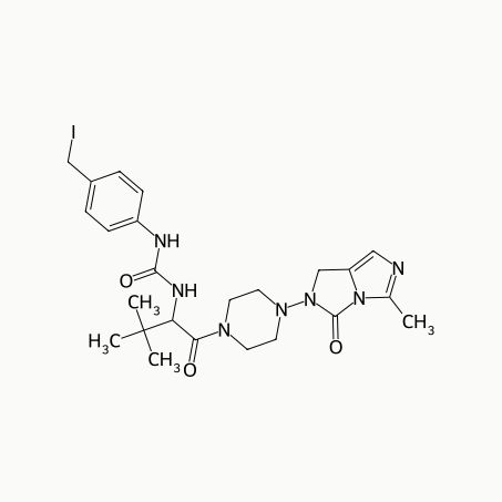 Cc1ncc2n1C(=O)N(N1CCN(C(=O)C(NC(=O)Nc3ccc(CI)cc3)C(C)(C)C)CC1)C2